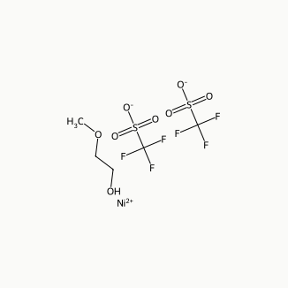 COCCO.O=S(=O)([O-])C(F)(F)F.O=S(=O)([O-])C(F)(F)F.[Ni+2]